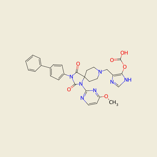 COc1ccnc(N2C(=O)N(c3ccc(-c4ccccc4)cc3)C(=O)C23CCN(Cc2nc[nH]c2OC(=O)O)CC3)n1